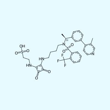 Cc1cnccc1-c1cccc([C@H](C)N(CCCCNc2c(NCCS(=O)(=O)O)c(=O)c2=O)S(=O)(=O)c2ccccc2C(F)(F)F)c1